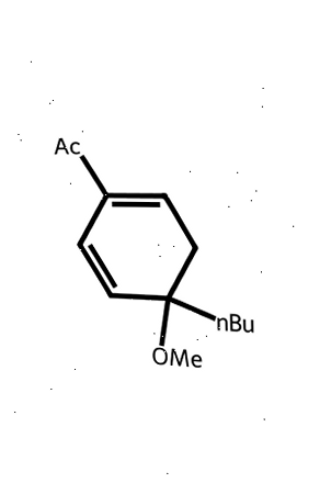 CCCCC1(OC)C=CC(C(C)=O)=CC1